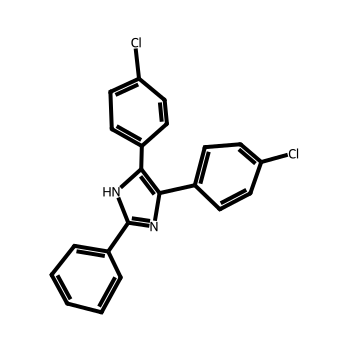 Clc1ccc(-c2nc(-c3ccccc3)[nH]c2-c2ccc(Cl)cc2)cc1